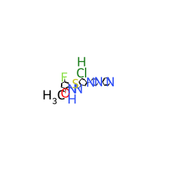 COc1ccc(F)cc1Nc1nc2cc(N3CCN(c4ccncc4)CC3)ccc2s1.Cl